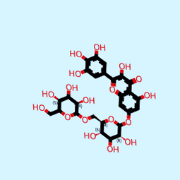 O=c1c(O)c(-c2cc(O)c(O)c(O)c2)oc2cc(OC3O[C@H](COC4OC(CO)[C@@H](O)C(O)[C@H]4O)[C@@H](O)C(O)[C@H]3O)cc(O)c12